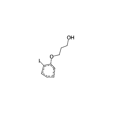 OCCCOc1ccccc1I